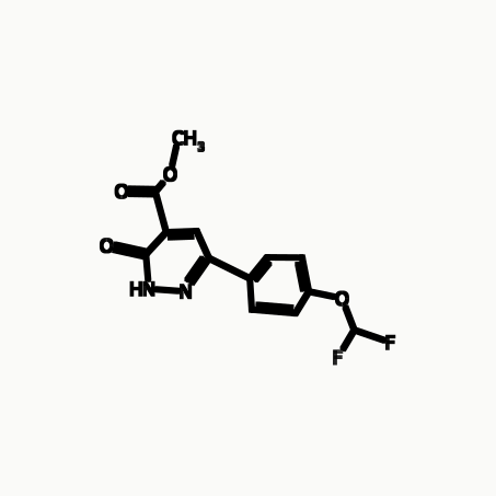 COC(=O)c1cc(-c2ccc(OC(F)F)cc2)n[nH]c1=O